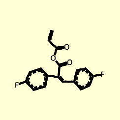 C=CC(=O)OC(=O)C(=Cc1ccc(F)cc1)c1ccc(F)cc1